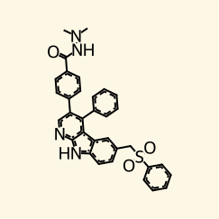 CN(C)NC(=O)c1ccc(-c2cnc3[nH]c4ccc(CS(=O)(=O)c5ccccc5)cc4c3c2-c2ccccc2)cc1